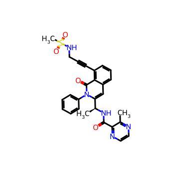 Cc1nccnc1C(=O)N[C@@H](C)c1cc2cccc(C#CCNS(C)(=O)=O)c2c(=O)n1-c1ccccc1